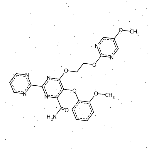 COc1cnc(OCCOc2nc(-c3ncccn3)nc(C(N)=O)c2Oc2ccccc2OC)nc1